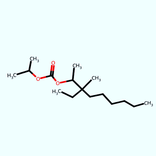 CCCCCCC(C)(CC)C(C)OC(=O)OC(C)C